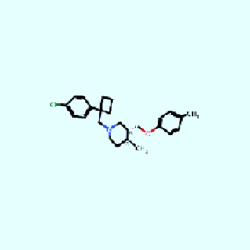 Cc1ccc(OC[C@H]2CN(CC3(c4ccc(Cl)cc4)CCC3)CC[C@@H]2C)cc1